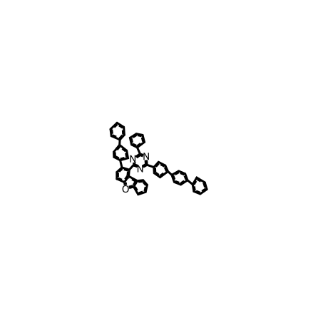 c1ccc(-c2ccc(-c3ccc(-c4nc(-c5ccccc5)nc(-c5c(-c6ccc(-c7ccccc7)cc6)ccc6oc7ccccc7c56)n4)cc3)cc2)cc1